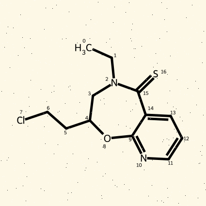 CCN1CC(CCCl)Oc2ncccc2C1=S